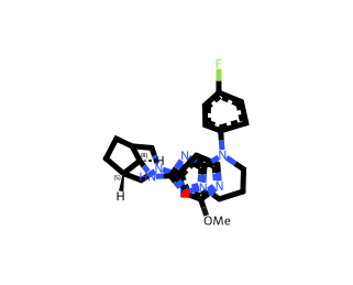 COc1cc(N2CC3CC[C@@H](C2)[C@@H]3Nc2nc3n(n2)CCCN3c2ccc(F)cc2)ccn1